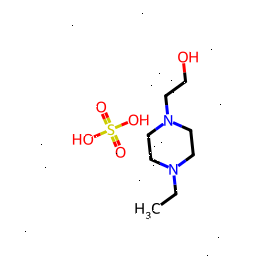 CCN1CCN(CCO)CC1.O=S(=O)(O)O